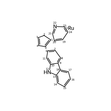 C1=CCC=C1.[Ru].c1ccc2c(c1)[nH]c1ccccc12.c1ccncc1